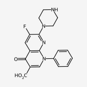 O=C(O)c1cn(-c2ccccc2)c2nc(N3CCNCC3)c(F)cc2c1=O